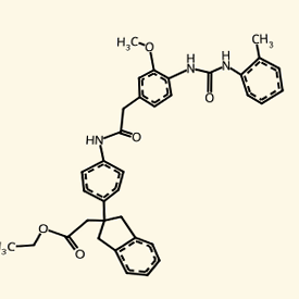 CCOC(=O)CC1(c2ccc(NC(=O)Cc3ccc(NC(=O)Nc4ccccc4C)c(OC)c3)cc2)Cc2ccccc2C1